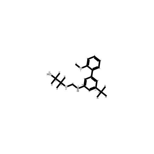 COc1ccccc1-c1cc(BCOC(C)(C)C(C)(C)O)cc(C(C)(C)C)c1